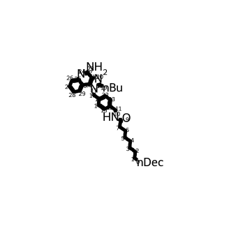 CCCCCCCCCCCCCCCCCC(=O)NCc1ccc(Cn2c(CCCC)nc3c(N)nc4ccccc4c32)cc1